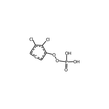 O=P(O)(O)OOc1cccc(Cl)c1Cl